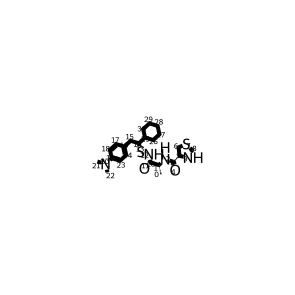 C[C@@H](NC(=O)[C@@H]1CSCN1)C(=O)NSC(Cc1ccc(N(C)C)cc1)C1CCCCC1